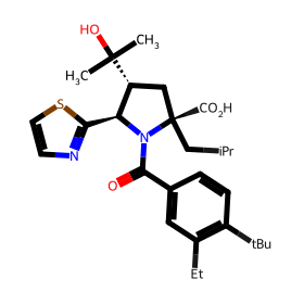 CCc1cc(C(=O)N2[C@@H](c3nccs3)[C@H](C(C)(C)O)C[C@@]2(CC(C)C)C(=O)O)ccc1C(C)(C)C